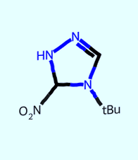 CC(C)(C)N1C=NNC1[N+](=O)[O-]